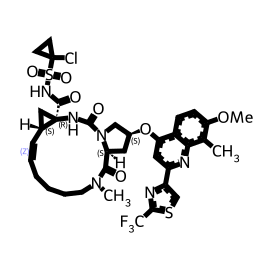 COc1ccc2c(O[C@H]3C[C@H]4C(=O)N(C)CCCC/C=C\[C@@H]5C[C@@]5(C(=O)NS(=O)(=O)C5(Cl)CC5)NC(=O)N4C3)cc(-c3csc(C(F)(F)F)n3)nc2c1C